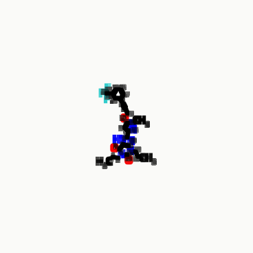 CCCn1c(=O)c2[nH]c(-c3cc(OCC#Cc4cccc(C(F)(F)F)c4)n(C)n3)nc2n(CCC)c1=O